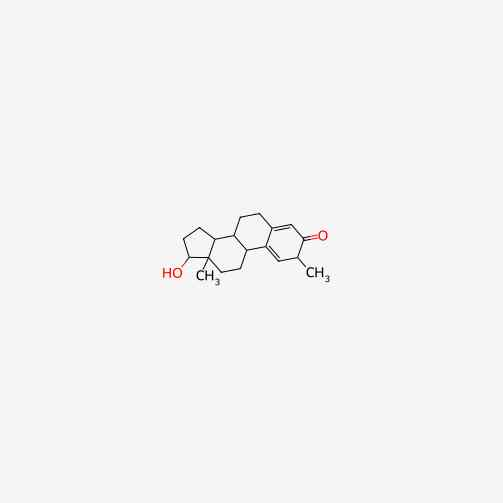 CC1C=C2C(=CC1=O)CCC1C2CCC2(C)C(O)CCC12